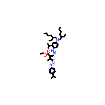 CCCCC(CC)CN(CC(CC)CCCC)c1ccc(N=Nc2sc(N=Nc3ccc(C(C)C)cc3)c(C)c2C(=O)OCC)c(C(C)C)c1